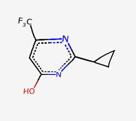 Oc1cc(C(F)(F)F)nc(C2CC2)n1